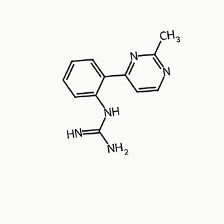 Cc1nccc(-c2ccccc2NC(=N)N)n1